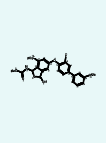 COC(=O)NC1SC(O)c2nc(Oc3ccc(-c4cccc(OC)c4)cc3F)cc(C(=O)O)c21